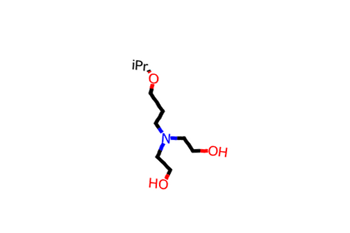 CC(C)OCCCN(CCO)CCO